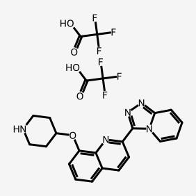 O=C(O)C(F)(F)F.O=C(O)C(F)(F)F.c1cc(OC2CCNCC2)c2nc(-c3nnc4ccccn34)ccc2c1